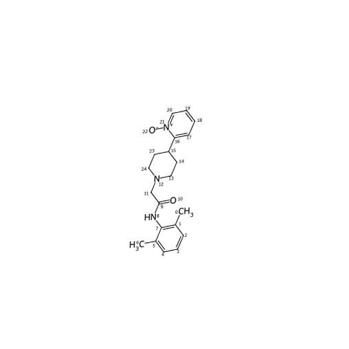 Cc1cccc(C)c1NC(=O)CN1CCC(c2cccc[n+]2[O-])CC1